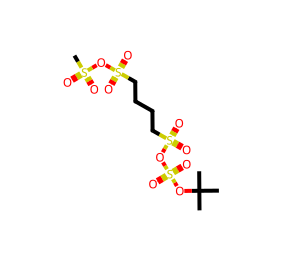 CC(C)(C)OS(=O)(=O)OS(=O)(=O)CCCCS(=O)(=O)OS(C)(=O)=O